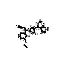 CCSc1cncc(C(CC#N)n2cc(-c3ncnc4[nH]ccc34)cn2)c1